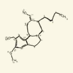 CCCCC1CN2CCc3cc(OC)c(O)cc3C2CC1=NO